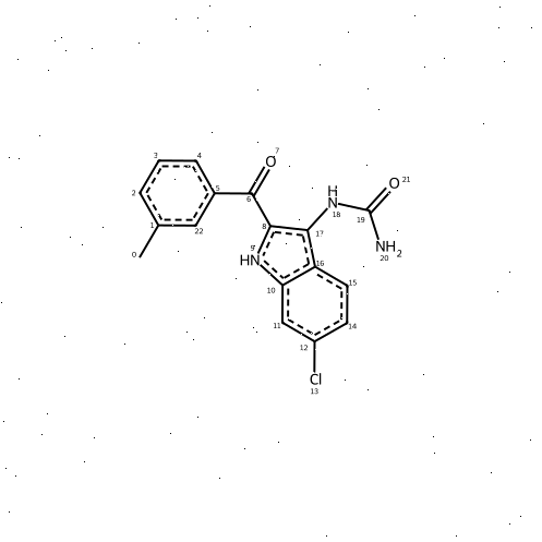 Cc1cccc(C(=O)c2[nH]c3cc(Cl)ccc3c2NC(N)=O)c1